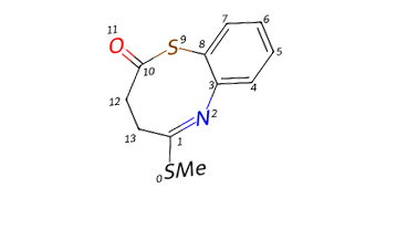 CSC1=Nc2ccccc2SC(=O)CC1